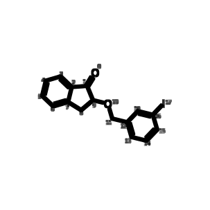 O=C1c2ccccc2CC1OCc1cccc(I)c1